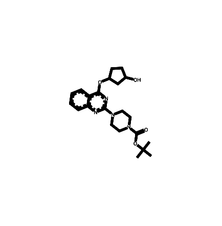 CC(C)(C)OC(=O)N1CCN(c2nc(OC3CCC(O)C3)c3ccccc3n2)CC1